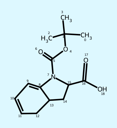 CC(C)(C)OC(=O)N1C2=CC=CCC2CC1C(=O)O